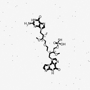 CO[C@H](COP(=O)(O)S)[C@@H](CCOC[C@@H](OC)[C@@H](F)Cn1cnc2c(=O)[nH]c(N)nc21)Cn1cnc2c(=O)[nH]c3nccn3c21